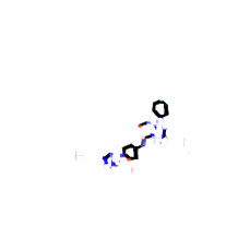 C=C1CN(c2ccc(F)cc2)N2CCO/C(=C\c3ccc(-n4cnc(C)c4)c(OC)c3)C2=N1